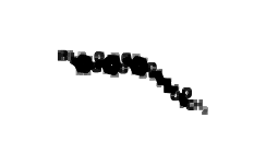 C=CC(=O)OCCCCCCOc1ccc(C(=O)Oc2ccc(C(=O)Oc3ccc(CC(C)CC)cc3)cc2)cc1